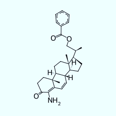 C[C@H](COC(=O)c1ccccc1)[C@H]1CC[C@H]2[C@@H]3C=CC4=C(N)C(=O)CC[C@]4(C)[C@H]3CC[C@]12C